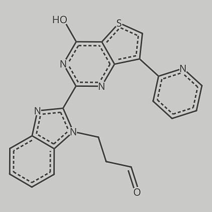 O=CCCn1c(-c2nc(O)c3scc(-c4ccccn4)c3n2)nc2ccccc21